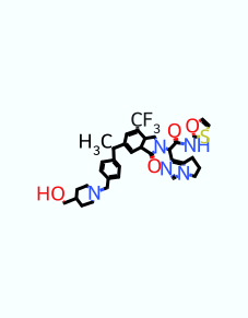 CC(C1=CC2C(=O)N(C(C(=O)NC3OC=CS3)c3ncn4c3CCC4)CC2C(C(F)(F)F)=C1)c1ccc(CN2CCC(CO)CC2)cc1